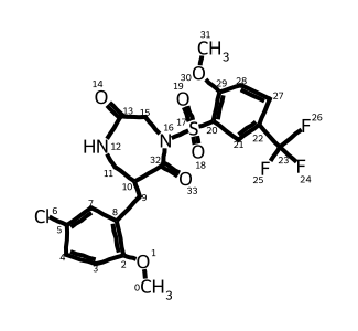 COc1ccc(Cl)cc1CC1CNC(=O)CN(S(=O)(=O)c2cc(C(F)(F)F)ccc2OC)C1=O